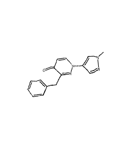 Cn1cc(-n2ccc(=O)c(Cc3cc[c]cc3)n2)cn1